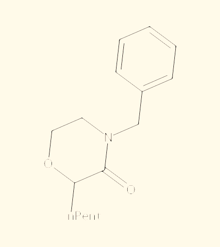 CCCCCC1OCCN(Cc2ccccc2)C1=O